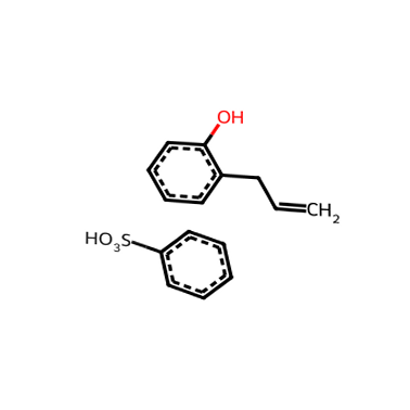 C=CCc1ccccc1O.O=S(=O)(O)c1ccccc1